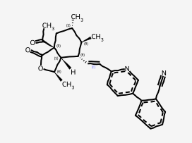 CC(=O)[C@@]12C[C@H](C)[C@@H](C)[C@H](/C=C/c3ccc(-c4ccccc4C#N)cn3)[C@@H]1[C@@H](C)OC2=O